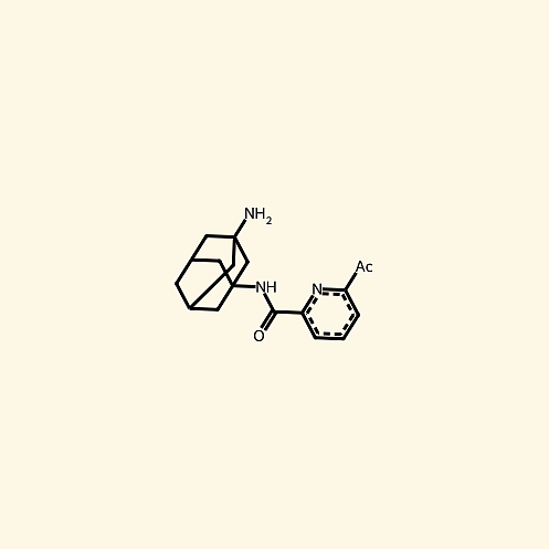 CC(=O)c1cccc(C(=O)NC23CC4CC(CC(N)(C4)C2)C3)n1